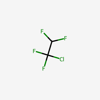 F[C](F)C(F)(F)Cl